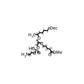 CCCCCCCCCCCCCCC(C)OC[C@H](COP(=O)(O)OCCN)OCCCCC(=O)OC